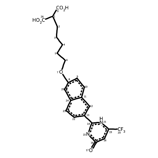 O=C(O)C(CCCCCOc1ccc2cc(-c3nc(=O)cc(C(F)(F)F)[nH]3)ccc2c1)C(=O)O